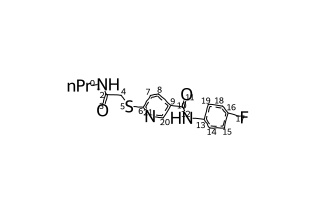 CCCNC(=O)CSc1ccc(C(=O)Nc2ccc(F)cc2)cn1